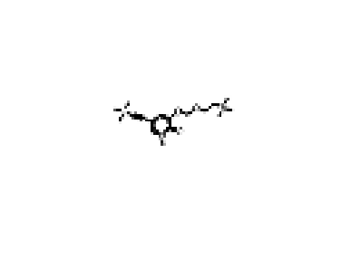 Cn1cc(C#C[Si](C)(C)C)cc(OCOCC[Si](C)(C)C)c1=O